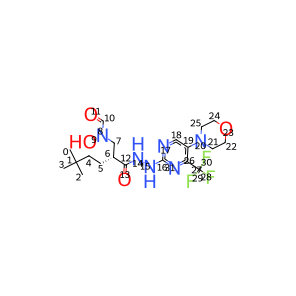 CC(C)(C)CC[C@H](CN(O)C=O)C(=O)NNc1ncc(N2CCOCC2)c(C(F)(F)F)n1